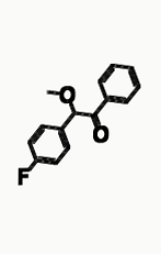 COC(C(=O)c1ccccc1)c1ccc(F)cc1